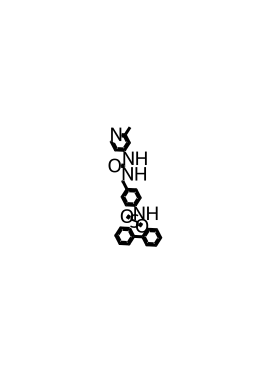 Cc1cc(NC(=O)NCc2ccc(NS(=O)(=O)c3ccccc3-c3ccccc3)cc2)ccn1